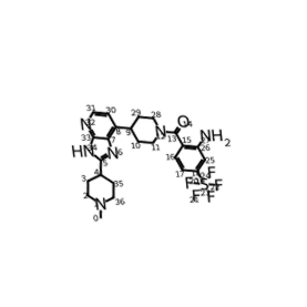 CN1CCC(c2nc3c(C4CCN(C(=O)c5ccc(S(F)(F)(F)(F)F)cc5N)CC4)ccnc3[nH]2)CC1